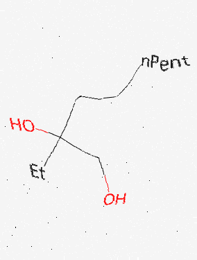 CCCCCCCC(O)(CC)CO